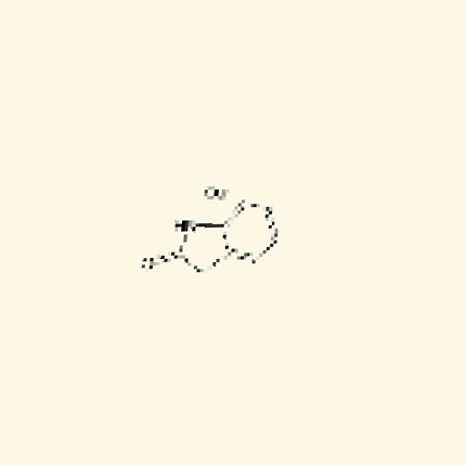 O=C1Cc2ccccc2N1.[Cu]